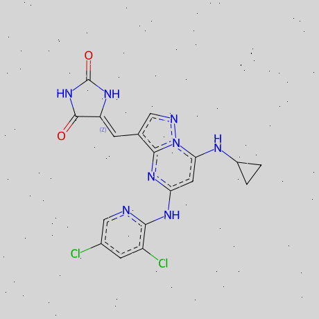 O=C1NC(=O)/C(=C/c2cnn3c(NC4CC4)cc(Nc4ncc(Cl)cc4Cl)nc23)N1